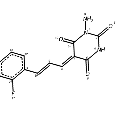 NN1C(=O)NC(=O)/C(=C/C=C/c2ccccc2F)C1=O